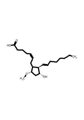 CCCCCC/C=C/[C@@H]1C(C/C=C\CCCC(=O)O)[C@@H](OC)C[C@H]1O